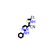 CCC1=CS/C(=C(/C#N)c2ccnc(NC3CCCCC3)n2)N1